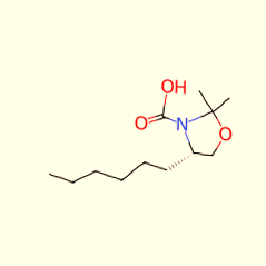 CCCCCC[C@H]1COC(C)(C)N1C(=O)O